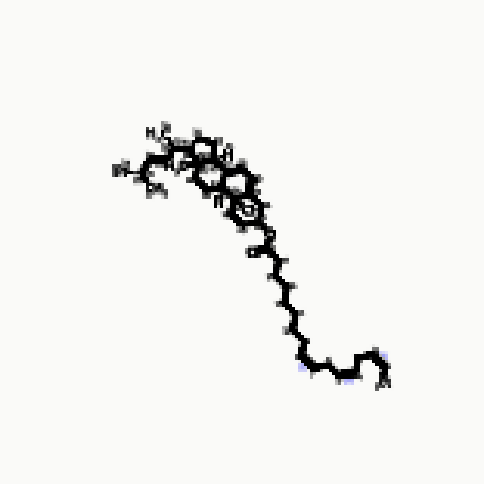 CC/C=C\C/C=C\C/C=C\CCCCCCCC(=O)OC1CC[C@@]2(C)C(=CC=C3[C@@H]4CC[C@H]([C@H](C)C=C[C@H](C)C(C)C)[C@@]4(C)CC[C@@H]32)C1